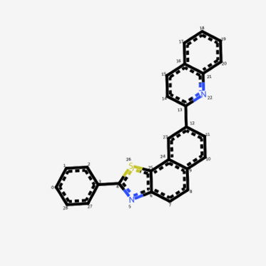 c1ccc(-c2nc3ccc4ccc(-c5ccc6ccccc6n5)cc4c3s2)cc1